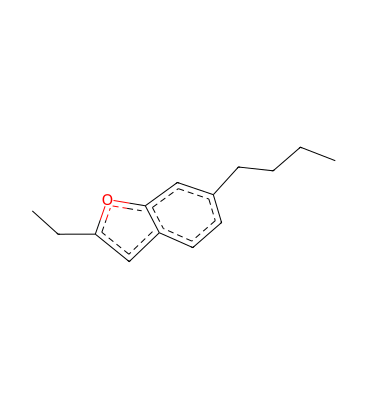 CCCCc1ccc2cc(CC)oc2c1